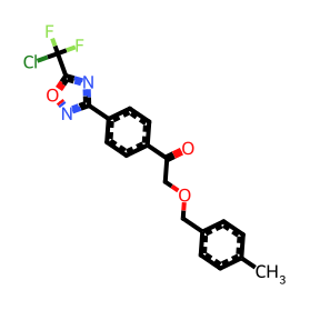 Cc1ccc(COCC(=O)c2ccc(-c3noc(C(F)(F)Cl)n3)cc2)cc1